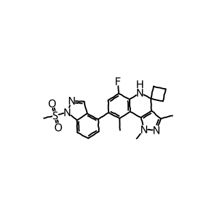 Cc1nn(C)c2c1C1(CCC1)Nc1c(F)cc(-c3cccc4c3cnn4S(C)(=O)=O)c(C)c1-2